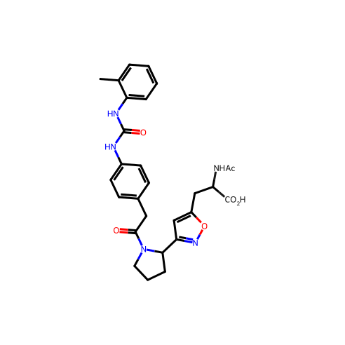 CC(=O)NC(Cc1cc(C2CCCN2C(=O)Cc2ccc(NC(=O)Nc3ccccc3C)cc2)no1)C(=O)O